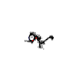 COc1cc2cc(c1Cl)N(C)C(=O)C[C@H](OC(=O)[C@H](C)N(C)C(=O)c1ccc(NC(=O)[C@H](CCCNC(N)=O)NC(=O)[C@@H](NC(=S)NCCOCCOCCC(=O)ON3C(=O)CCC3=O)C(C)C)c3cccnc13)[C@]1(C)O[C@H]1C[C@@H]1C[C@@](O)(NC(=O)O1)[C@H](OC)/C=C/C=C(\C)C2